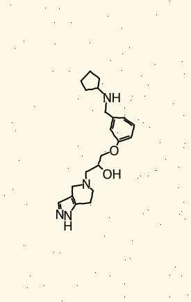 OC(COc1cccc(CNC2CCCC2)c1)CN1CCc2[nH]ncc2C1